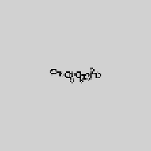 Cn1c2c(c3ccc(-n4ccc(OCc5ccccc5)cc4=O)cc31)CN(C(=O)C1CCCC1)CC2